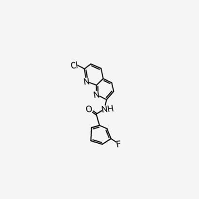 O=C(Nc1ccc2ccc(Cl)nc2n1)c1cccc(F)c1